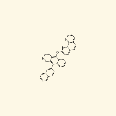 c1ccc2cc(-c3c4ccccc4c(Oc4ccc5ccc6cccnc6c5n4)c4ccncc34)ccc2c1